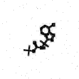 CC(C)(C)OC(=O)NC(C)(C)c1nnc2c(Cl)cccn12